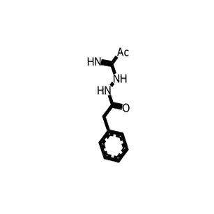 CC(=O)C(=N)NNC(=O)Cc1ccccc1